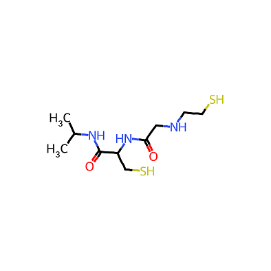 CC(C)NC(=O)C(CS)NC(=O)CNCCS